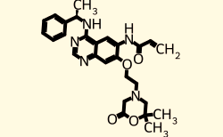 C=CC(=O)Nc1cc2c(N[C@H](C)c3ccccc3)ncnc2cc1OCCN1CC(=O)OC(C)(C)C1